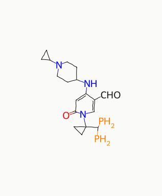 O=Cc1cn(C2(C(P)P)CC2)c(=O)cc1NC1CCN(C2CC2)CC1